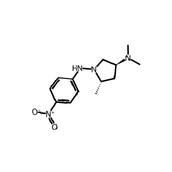 C[C@H]1C[C@H](N(C)C)CN1Nc1ccc([N+](=O)[O-])cc1